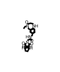 CCN1Cc2cc(CNC(=O)CN3C(=O)[C@@H]4[C@H]5CC[C@H](C5)[C@@H]4C3=O)ccc2NCCC1=O